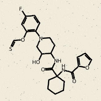 O=C(NC1(C(=O)NC2CCN(c3ccc(F)cc3OC=S)CC2O)CCCCC1)c1ccco1